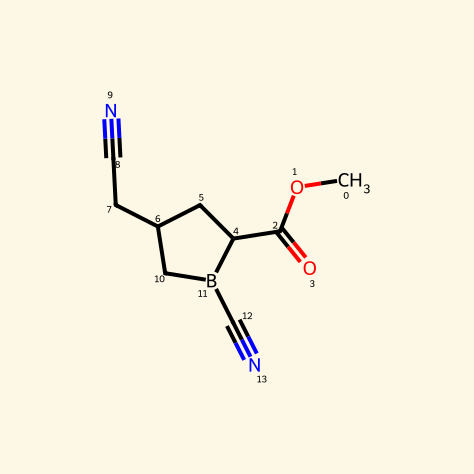 COC(=O)C1CC(CC#N)CB1C#N